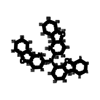 c1ccc2c(c1)oc1c(N(c3ccc4oc5ccccc5c4n3)c3ccc4oc5ccccc5c4n3)cccc12